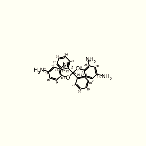 Nc1ccc(OC(Oc2ccc(N)cc2N)(c2ccccc2)c2ccccc2)c(N)c1